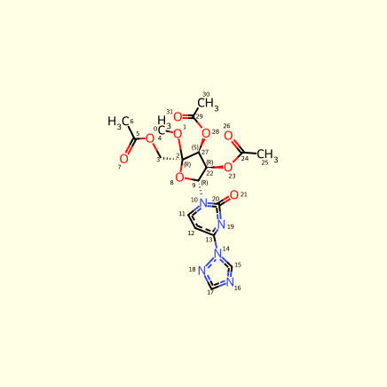 CO[C@]1(COC(C)=O)O[C@@H](n2ccc(-n3cncn3)nc2=O)[C@H](OC(C)=O)[C@@H]1OC(C)=O